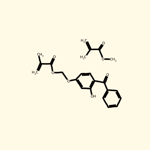 C=C(C)C(=O)OC.C=C(C)C(=O)OCOc1ccc(C(=O)c2ccccc2)c(O)c1